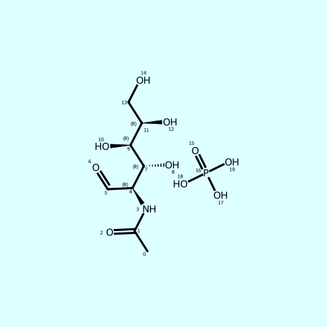 CC(=O)N[C@@H](C=O)[C@@H](O)[C@@H](O)[C@H](O)CO.O=P(O)(O)O